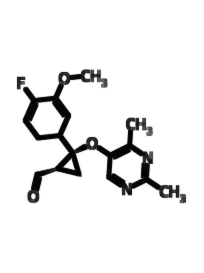 COC1=CC([C@]2(Oc3cnc(C)nc3C)C[C@H]2C=O)CC=C1F